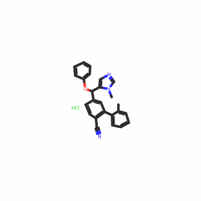 Cc1ccccc1-c1cc(C(Oc2ccccc2)c2cncn2C)ccc1C#N.Cl